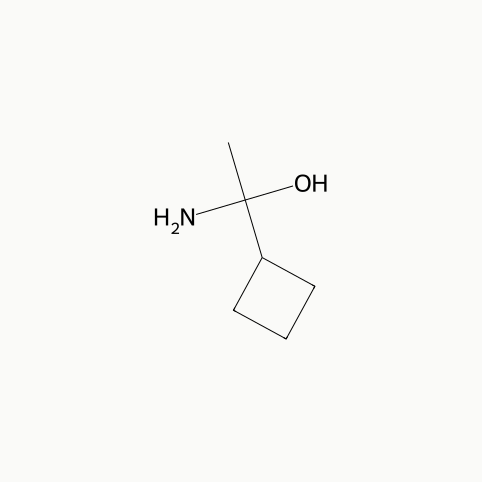 CC(N)(O)C1CCC1